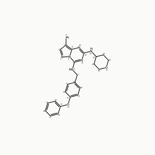 CC(C)c1cnn2c(NCc3ccc(Oc4ccccc4)cc3)nc(NC3CCOCC3)nc12